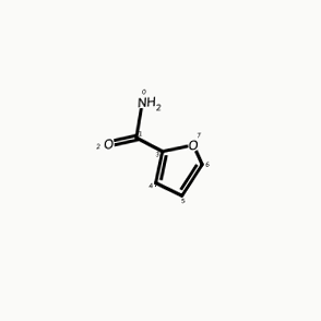 NC(=O)c1[c]cco1